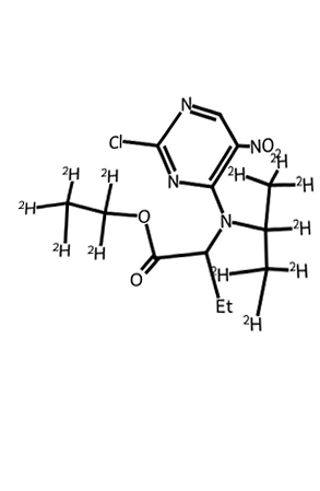 [2H]C([2H])([2H])C([2H])([2H])OC(=O)C(CC)N(c1nc(Cl)ncc1[N+](=O)[O-])C([2H])(C([2H])([2H])[2H])C([2H])([2H])[2H]